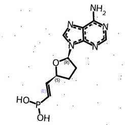 Nc1ncnc2c1ncn2[C@H]1CC[C@@H](/C=C/P(O)O)O1